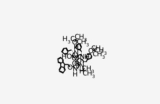 CC(C)C[C@H](NC(=O)OCC1c2ccccc2-c2ccccc21)C(=O)N[C@H](Cc1ccc(OC(C)(C)C)cc1)C(=O)N[C@@H](Cc1ccc(OC(C)(C)C)cc1)C(=O)N[C@@H](Cc1ccccc1)C(=O)O